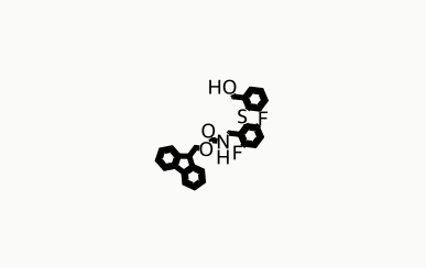 O=C(NCc1c(F)ccc(F)c1Sc1ccccc1CO)OCC1c2ccccc2-c2ccccc21